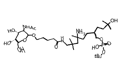 CC(=O)NC1C(OCCCCC(=O)NCC(C)(C)CC(C)(N)CCC(CCC(C)(C)O)COP(=O)(O)OC(C)(C)C)OC(O)[C@H](O)[C@@H]1O